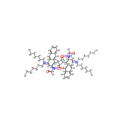 CCCCCCCN(CCCCCCC)c1cc(NC(C)=O)c(C2C(O)C(c3c(NC(C)=O)cc(N(CCCCCCC)CCCCCCC)c4cc5ccccc5cc34)C2O)c2cc3ccccc3cc12